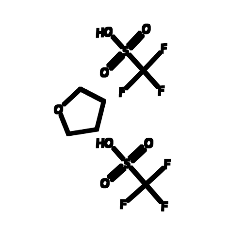 C1CCOC1.O=S(=O)(O)C(F)(F)F.O=S(=O)(O)C(F)(F)F